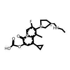 CCNC[C@@H]1CCN(c2c(F)cn3c(=O)c(OC(=O)O)cc(C4CC4)c3c2C)C1